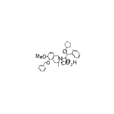 COc1ccc2c(c1OCc1ccccc1)C[C@@](C)(C(=O)O)N(C(=O)[C@@H](OC1CCCC1)c1ccccc1)C2